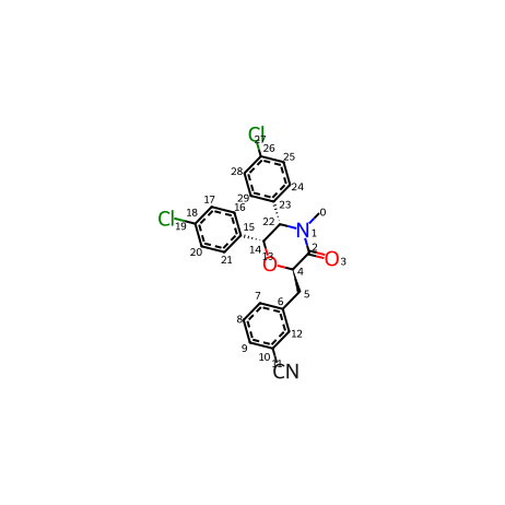 CN1C(=O)[C@@H](Cc2cccc(C#N)c2)O[C@H](c2ccc(Cl)cc2)[C@@H]1c1ccc(Cl)cc1